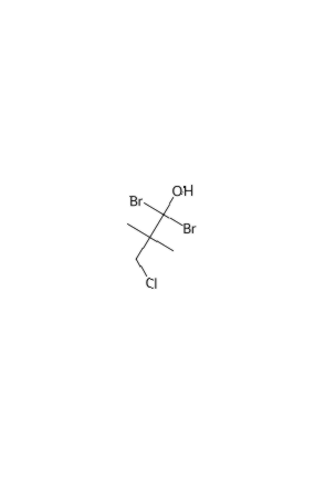 CC(C)(CCl)C(O)(Br)Br